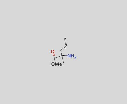 C=CCC(C)(N)C(=O)OC